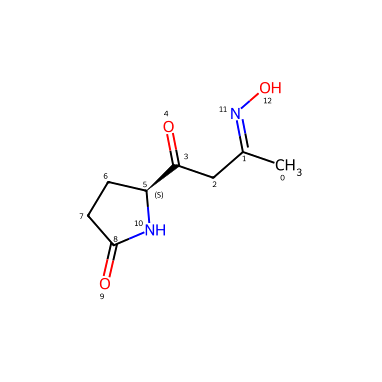 CC(CC(=O)[C@@H]1CCC(=O)N1)=NO